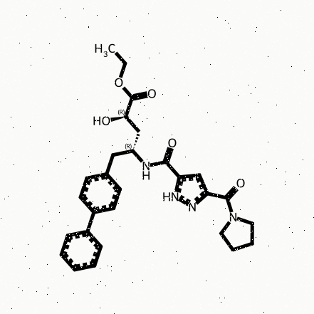 CCOC(=O)[C@H](O)C[C@@H](Cc1ccc(-c2ccccc2)cc1)NC(=O)c1cc(C(=O)N2CCCC2)n[nH]1